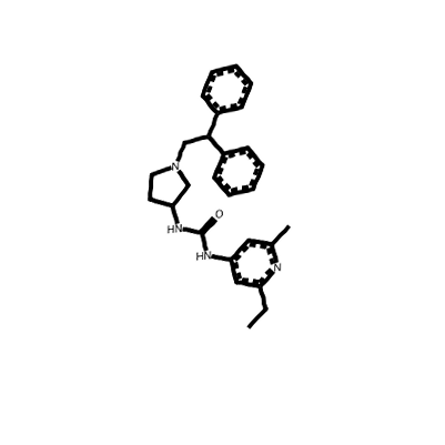 CCc1cc(NC(=O)NC2CCN(CC(c3ccccc3)c3ccccc3)C2)cc(C)n1